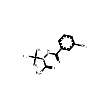 CC(=O)N(NC(=O)c1cccc(C)c1)C(C)(C)C